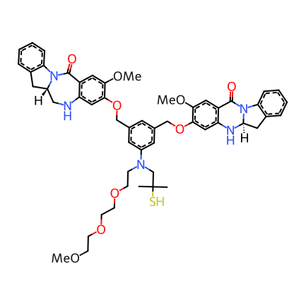 COCCOCCOCCN(CC(C)(C)S)c1cc(COc2cc3c(cc2OC)C(=O)N2c4ccccc4C[C@H]2CN3)cc(COc2cc3c(cc2OC)C(=O)N2c4ccccc4C[C@H]2N3)c1